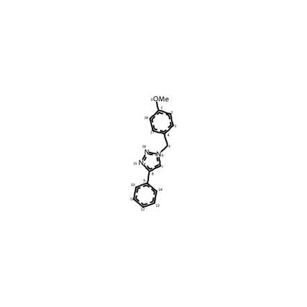 COc1ccc(Cn2cc(-c3ccccc3)nn2)cc1